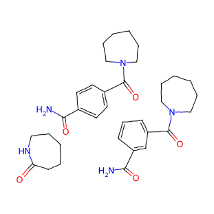 NC(=O)c1ccc(C(=O)N2CCCCCC2)cc1.NC(=O)c1cccc(C(=O)N2CCCCCC2)c1.O=C1CCCCCN1